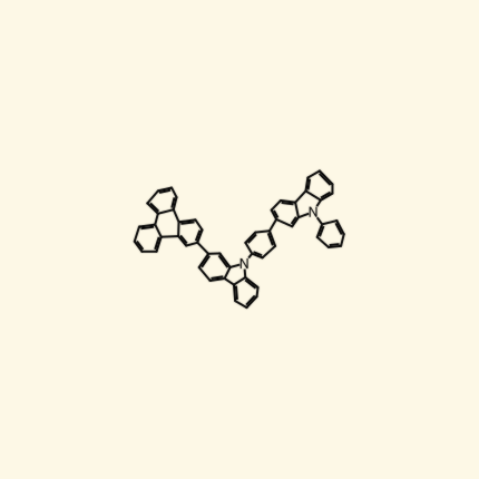 c1ccc(-n2c3ccccc3c3ccc(-c4ccc(-n5c6ccccc6c6ccc(-c7ccc8c9ccccc9c9ccccc9c8c7)cc65)cc4)cc32)cc1